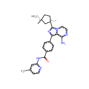 C[C@@]1(C(=O)O)CC[C@@](C)(c2nc(-c3ccc(C(=O)Nc4cc(C(F)(F)F)ccn4)cc3)c3c(N)nccn23)C1